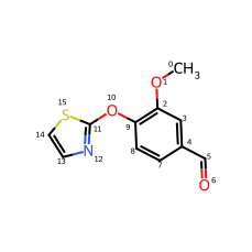 COc1cc(C=O)ccc1Oc1nccs1